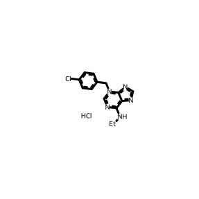 CCNc1ncn(Cc2ccc(Cl)cc2)c2ncnc1-2.Cl